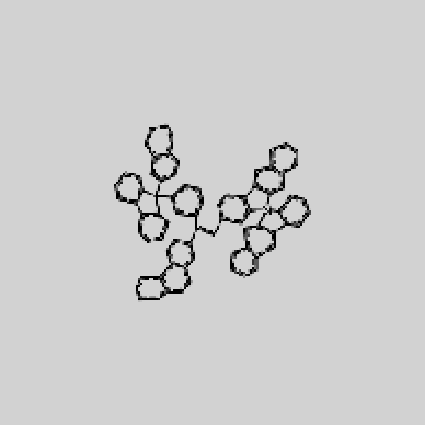 C(=C(/c1cccc(C2(c3ccc4ccccc4c3)c3ccccc3-c3ccccc32)c1)c1ccc2c(ccc3ccccc32)c1)/c1ccc2c(c1)[Si@]1(c3ccccc3-c3cc4ccccc4cc31)c1cc3ccccc3cc1-2